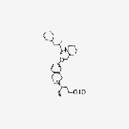 C=CC(CCC=O)N1CCc2ccc(OCC3CCCCN3C(=C)C(C)CC3CCCCC3)cc2C1